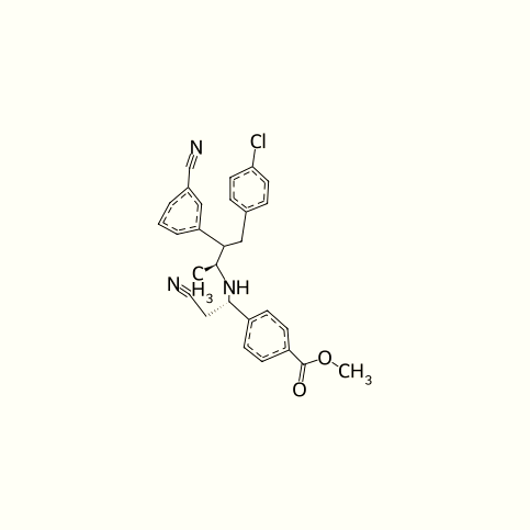 COC(=O)c1ccc([C@H](CC#N)N[C@@H](C)C(Cc2ccc(Cl)cc2)c2cccc(C#N)c2)cc1